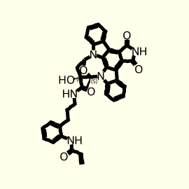 C=CC(=O)Nc1ccccc1CCCNC(=O)[C@@]1(O)CC2O[C@]1(C)n1c3ccccc3c3c4c(c5c6ccccc6n2c5c31)C(=O)NC4=O